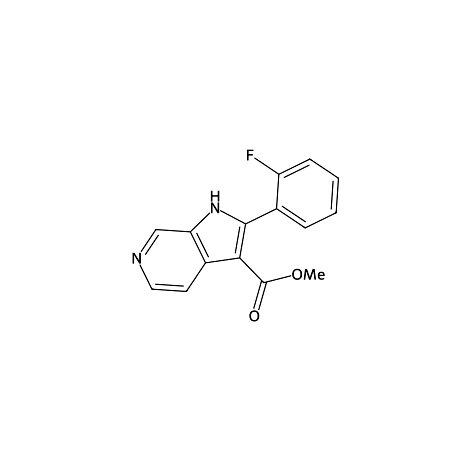 COC(=O)c1c(-c2ccccc2F)[nH]c2cnccc12